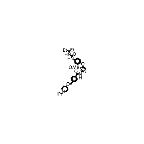 CCC(CC)NC(=O)Nc1ccc(Oc2cnc(NC(=O)c3ccc(COC4CCN(C(C)C)CC4)cc3)s2)c(OC)c1